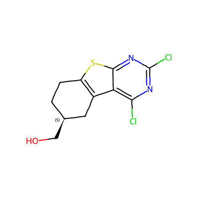 OC[C@H]1CCc2sc3nc(Cl)nc(Cl)c3c2C1